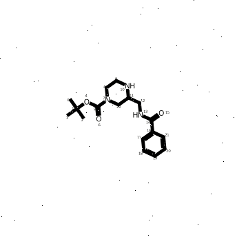 CC(C)(C)OC(=O)N1CCNC(CNC(=O)c2ccccc2)C1